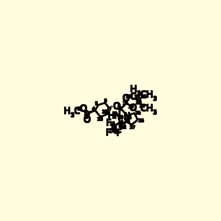 COC(=O)[C@H]1CC[C@H](OC(NC(=O)C(F)(F)F)(C(=O)OC(C)(C)C)N2CCCC2)CC1